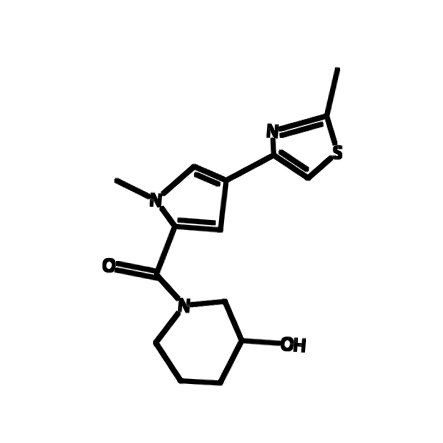 Cc1nc(-c2cc(C(=O)N3CCCC(O)C3)n(C)c2)cs1